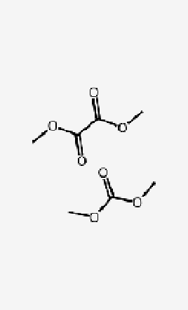 COC(=O)C(=O)OC.COC(=O)OC